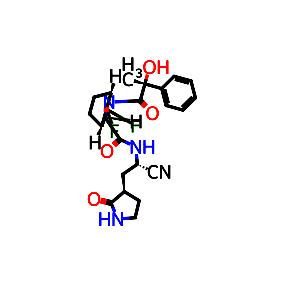 C[C@](O)(C(=O)N1[C@H]2CC[C@@H]([C@H]1C(=O)N[C@H](C#N)C[C@H]1CCNC1=O)C(F)(F)C2)c1ccccc1